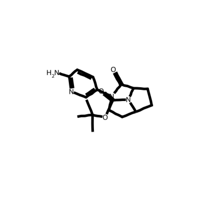 CC(C)(C)OC(=O)N1C2CCC1C(=O)N(c1ccc(N)nc1)CC2